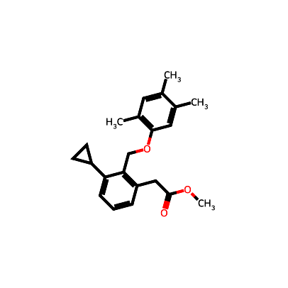 COC(=O)Cc1cccc(C2CC2)c1COc1cc(C)c(C)cc1C